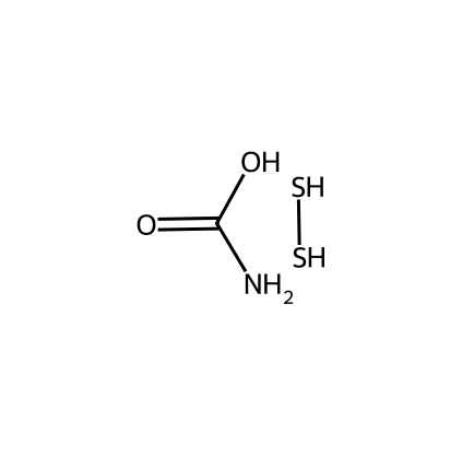 NC(=O)O.SS